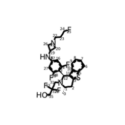 C[C@H]1Cc2sc3ccccc3c2[C@H](c2c(F)cc(NC3CN(CCCF)C3)cc2F)N1CC(F)(F)CO